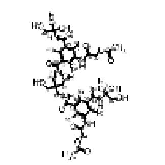 CC(=O)OCC(=O)Nc1c(I)c(C(=O)NCC(CO)(CO)CNC(=O)c2c(I)c(NC(=O)COC(C)=O)c(I)c(C(=O)NC(C)(O)CO)c2I)c(I)c(C(=O)NC(C)(O)CO)c1I